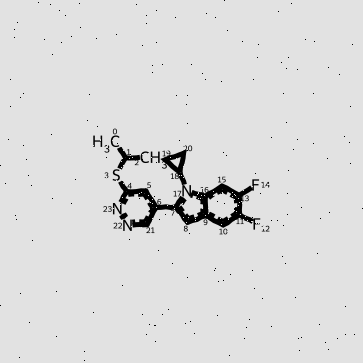 CC(C)Sc1cc(-c2cc3cc(F)c(F)cc3n2C2CC2)cnn1